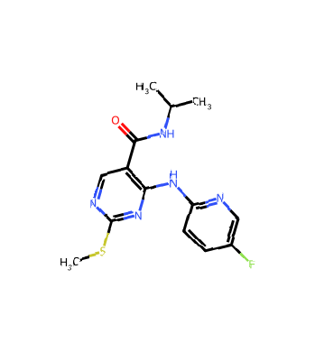 CSc1ncc(C(=O)NC(C)C)c(Nc2ccc(F)cn2)n1